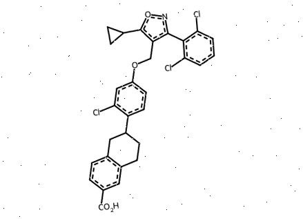 O=C(O)c1ccc2c(c1)CCC(c1ccc(OCc3c(-c4c(Cl)cccc4Cl)noc3C3CC3)cc1Cl)C2